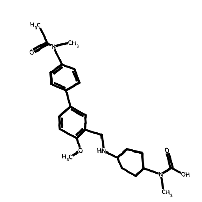 COc1ccc(-c2ccc(N(C)C(C)=O)cc2)cc1CNC1CCC(N(C)C(=O)O)CC1